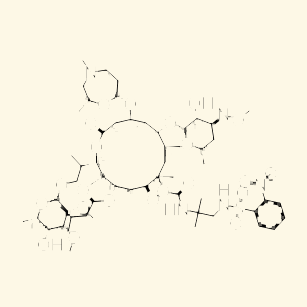 CON=C1C[C@@H](C)O[C@@H](O[C@@H]2[C@@H](C)[C@H](O[C@H]3C[C@@H](C)N(C)C[C@H](C)O3)[C@@H](C)C(=O)O[C@H](C(C)CO[C@@H]3O[C@H](C)[C@@H](O)[C@@H](OC)[C@H]3OC)[C@H](C)[C@@H](OC(=O)CC(C)C)[C@@H](C)C(=O)[C@@](C)(OC(=O)NC(C)(C)CNS(=O)(=O)c3ccccc3[N+](=O)[O-])C[C@@H]2C)[C@@H]1O